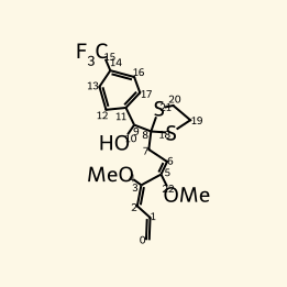 C=C/C=C(OC)\C(=C/CC1(C(O)c2ccc(C(F)(F)F)cc2)SCCS1)OC